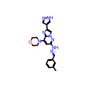 Cc1cccc(/C=N/Nc2cc(N3CCOCC3)c3nc(-c4cn[nH]c4)cn3n2)c1